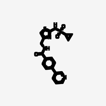 O=C(NCc1csc(NS(=O)(=O)C2CC2)n1)c1ccc(-c2cccnc2)cc1